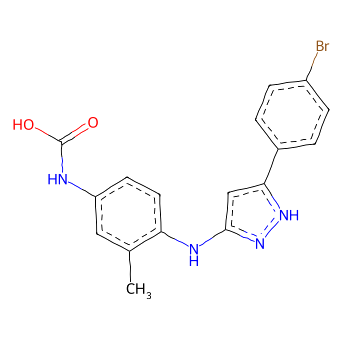 Cc1cc(NC(=O)O)ccc1Nc1cc(-c2ccc(Br)cc2)[nH]n1